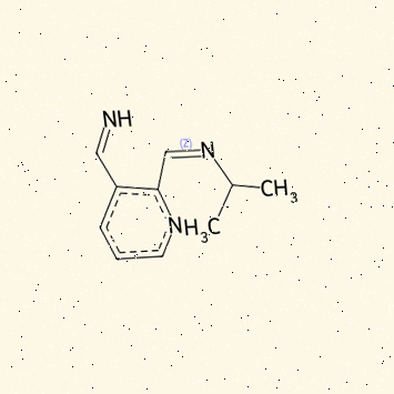 CC(C)/N=C\c1ncccc1C=N